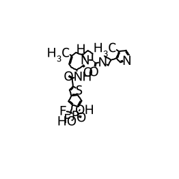 C/C1=C/C[C@H](NC(=O)c2cc3cc(C(F)(F)P(=O)(O)O)ccc3s2)C(=O)N2[C@H](CC[C@H]2C(=O)N2CC(c3cnccc3C)C2)C1